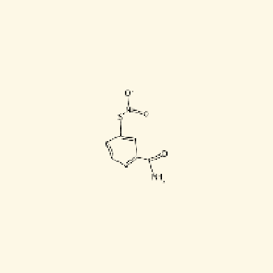 NC(=O)c1cccc(S[N+](=O)[O-])c1